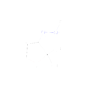 CCNNC1CCOC1(C)C